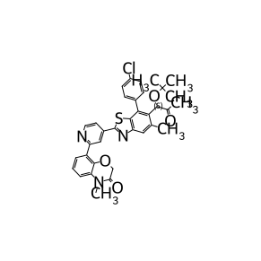 CC(=O)[C@@H](OC(C)(C)C)c1c(C)cc2nc(-c3ccnc(-c4cccc5c4OCC(=O)N5C)c3)sc2c1-c1ccc(Cl)cc1